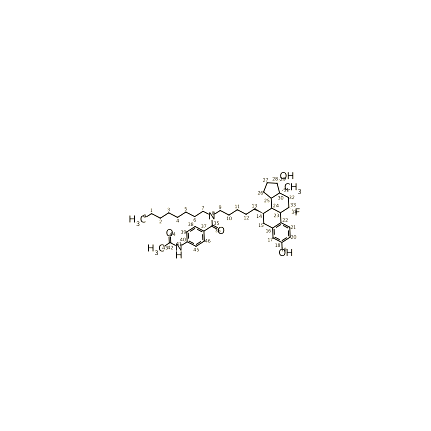 CCCCCCCCN(CCCCC[C@@H]1Cc2cc(O)ccc2C2C1C1CC[C@H](O)[C@@]1(C)C[C@@H]2F)C(=O)c1ccc(NC(C)=O)cc1